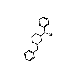 O[C@@H](c1ccccc1)C1CCCN(Cc2ccccc2)C1